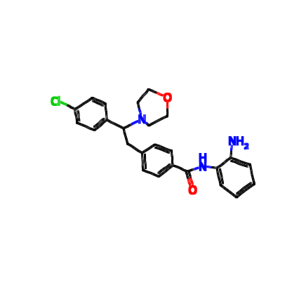 Nc1ccccc1NC(=O)c1ccc(CC(c2ccc(Cl)cc2)N2CCOCC2)cc1